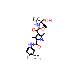 C#C[C@](CO)(NC(=O)C(=O)c1c(C)c(C(=O)Nc2ccc(F)c(C(F)(F)F)c2)n(C)c1C)C(F)(F)F